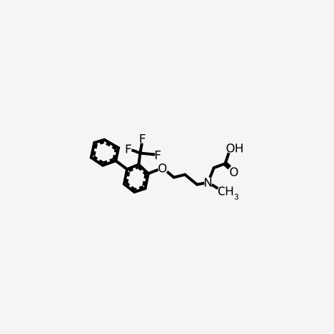 CN(CCCOc1cccc(-c2ccccc2)c1C(F)(F)F)CC(=O)O